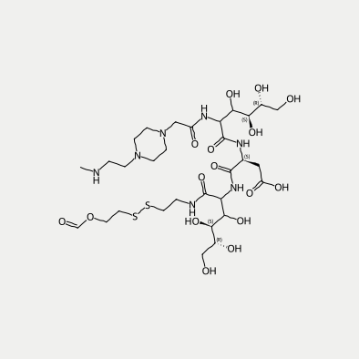 CNCCN1CCN(CC(=O)NC(C(=O)N[C@@H](CC(=O)O)C(=O)NC(C(=O)NCCSSCCOC=O)C(O)[C@H](O)[C@H](O)CO)C(O)[C@H](O)[C@H](O)CO)CC1